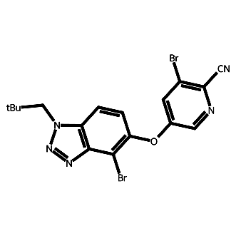 CC(C)(C)Cn1nnc2c(Br)c(Oc3cnc(C#N)c(Br)c3)ccc21